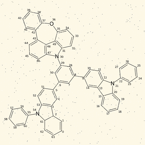 C1=CC2c3cc(-c4cc(-c5ccc6c(c5)c5ccccc5n6-c5ccccc5)cc(-n5c6cccc7oc8ccccc8c8cccc5c8c76)c4)ccc3N(c3ccccc3)C2C=C1